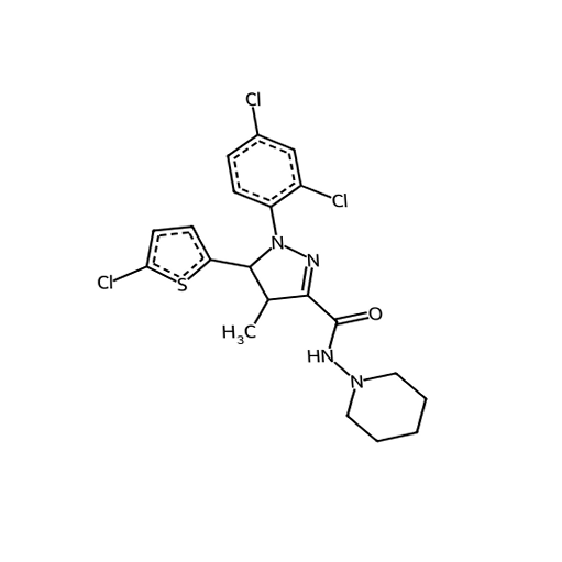 CC1C(C(=O)NN2CCCCC2)=NN(c2ccc(Cl)cc2Cl)C1c1ccc(Cl)s1